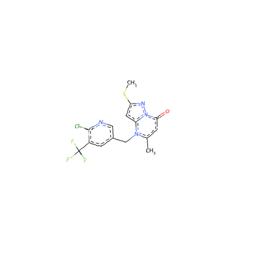 CSc1cc2n(Cc3cnc(Cl)c(C(F)(F)F)c3)c(C)cc(=O)n2n1